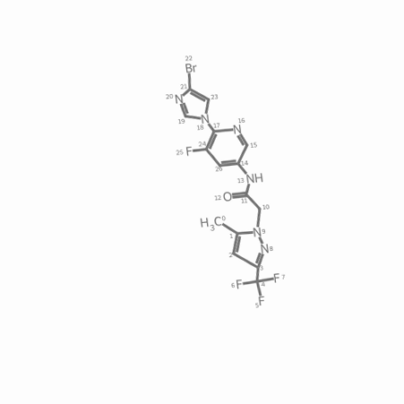 Cc1cc(C(F)(F)F)nn1CC(=O)Nc1cnc(-n2cnc(Br)c2)c(F)c1